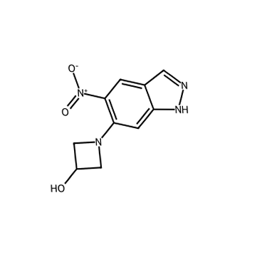 O=[N+]([O-])c1cc2cn[nH]c2cc1N1CC(O)C1